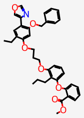 CCCc1c(OCCCOc2cc(OCc3ccccc3)c(-c3cocn3)cc2CC)cccc1Oc1ccccc1C(=O)OC